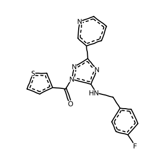 O=C(c1ccsc1)n1nc(-c2cccnc2)nc1NCc1ccc(F)cc1